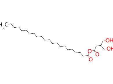 CCCCCCCCCCCCCCCCCCCCCC(=O)OC(=O)CC(CO)CO